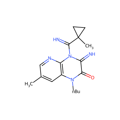 CCCCn1c(=O)c(=N)n(C(=N)C2(C)CC2)c2ncc(C)cc21